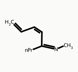 C=C/C=C\C(CCC)=N/C